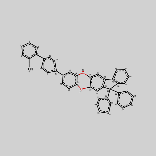 N#Cc1ccccc1-c1ccc(-c2ccc3c(c2)Oc2cc4c(cc2O3)C(c2ccccc2)(c2ccccc2)c2ccccc2-4)cc1